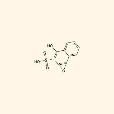 O=S(=O)(O)c1c2c(c3ccccc3c1O)O2